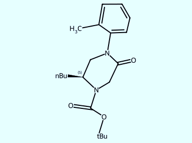 CCCC[C@H]1CN(c2ccccc2C)C(=O)CN1C(=O)OC(C)(C)C